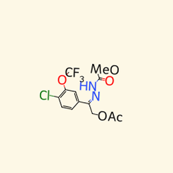 COC(=O)N/N=C(/COC(C)=O)c1ccc(Cl)c(OC(F)(F)F)c1